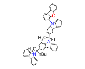 CCCCC(C)(c1ccc2c(c1)c1ccccc1n2C(C)(CC)c1ccc2c(c1)c1ccccc1n2-c1cccc2c1oc1ccccc12)n1c2ccccc2c2ccccc21